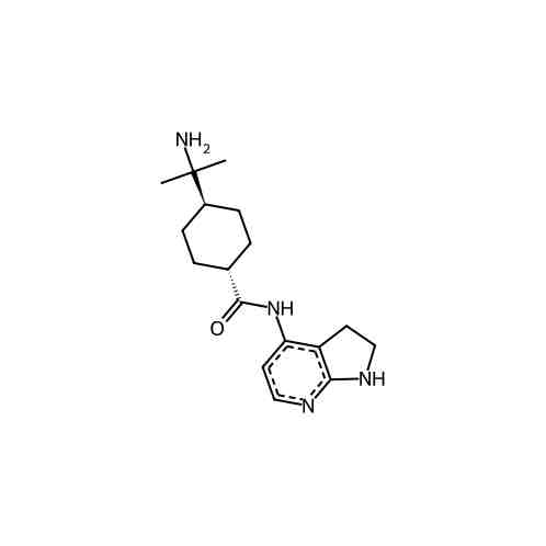 CC(C)(N)[C@H]1CC[C@H](C(=O)Nc2ccnc3c2CCN3)CC1